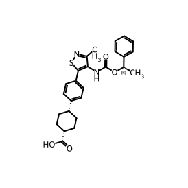 Cc1nsc(-c2ccc([C@H]3CC[C@@H](C(=O)O)CC3)cc2)c1NC(=O)O[C@H](C)c1ccccc1